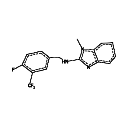 Cn1c(NCc2ccc(F)c(C(F)(F)F)c2)nc2ccccc21